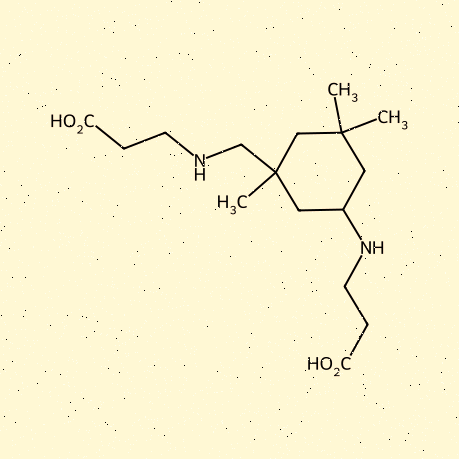 CC1(C)CC(NCCC(=O)O)CC(C)(CNCCC(=O)O)C1